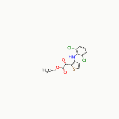 CCOC(=O)C(=O)c1sccc1Nc1c(Cl)cccc1Cl